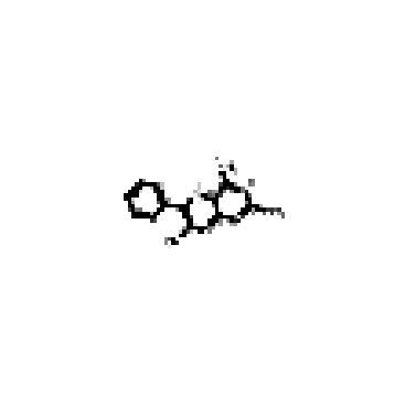 NC1=NC2=NC(N)=C(c3ccccc3)NC2C(N)=N1